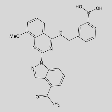 COc1cccc2c(NCc3cccc(B(O)O)c3)nc(-n3ncc4c(C(N)=O)cccc43)nc12